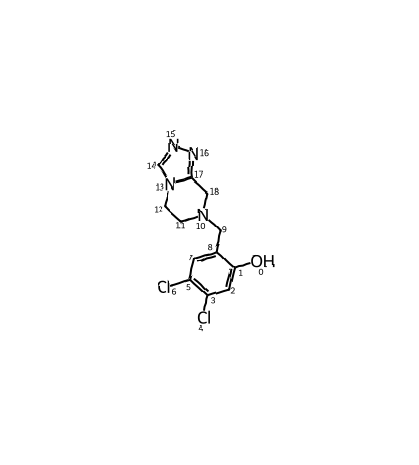 Oc1cc(Cl)c(Cl)cc1CN1CCn2cnnc2C1